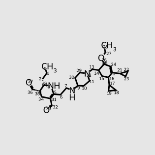 CCC[C@@H]1NC(CCNC2CCN(CC3CC(C4CC4)C(C4CC4)=C[C@@H]3OCC)CC2)=C(C=O)C[C@H]1C=O